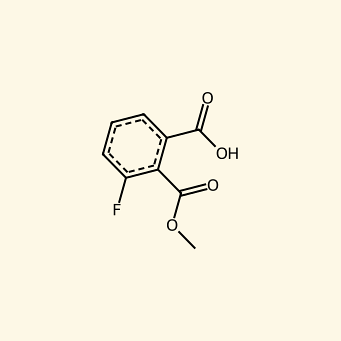 COC(=O)c1c(F)cccc1C(=O)O